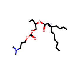 C[CH]C(COC(=O)OCCCN(C)C)OC(=O)/C=C(/CCCC)CCCCCC